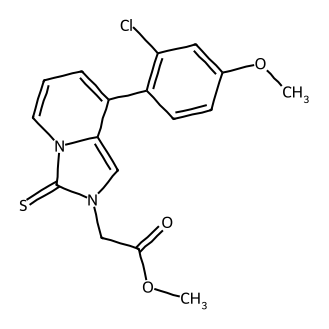 COC(=O)Cn1cc2c(-c3ccc(OC)cc3Cl)cccn2c1=S